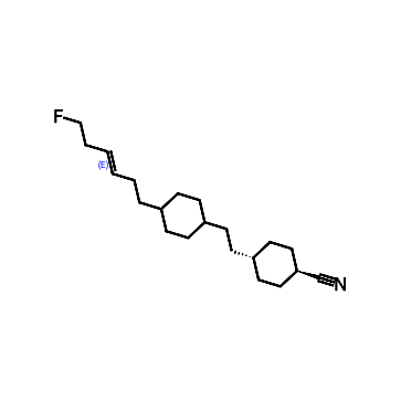 N#C[C@H]1CC[C@H](CCC2CCC(CC/C=C/CCF)CC2)CC1